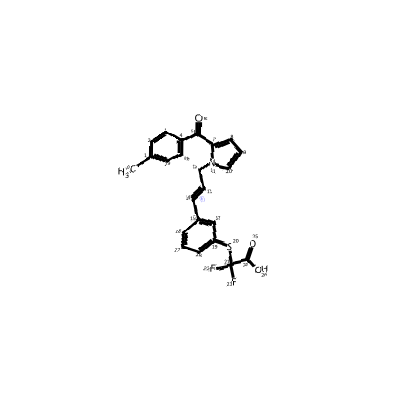 Cc1ccc(C(=O)c2cccn2C/C=C/c2cccc(SC(F)(F)C(=O)O)c2)cc1